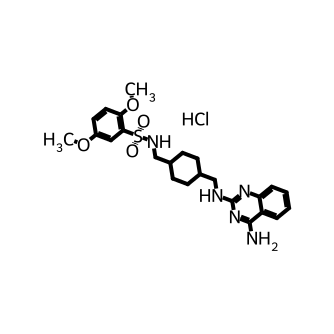 COc1ccc(OC)c(S(=O)(=O)NCC2CCC(CNc3nc(N)c4ccccc4n3)CC2)c1.Cl